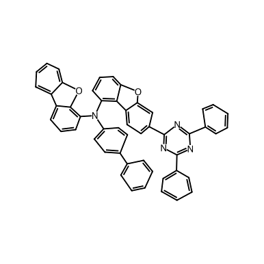 c1ccc(-c2ccc(N(c3cccc4c3oc3ccccc34)c3cccc4oc5cc(-c6nc(-c7ccccc7)nc(-c7ccccc7)n6)ccc5c34)cc2)cc1